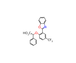 O=C(O)[C@@H](Oc1ccc(C(F)(F)F)cc1-c1nc2ccccc2o1)c1ccccc1